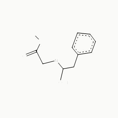 O=C(CNC(Cc1ccccc1)C(=O)O)OO